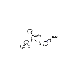 COC(=O)/C=C1\C=CC=C(OCCCN(Cc2cccc(C(F)(F)F)c2Cl)C[C@H](OC)c2ccccc2)C1